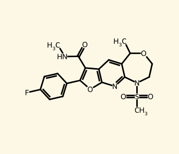 CNC(=O)c1c(-c2ccc(F)cc2)oc2nc3c(cc12)C(C)OCCN3S(C)(=O)=O